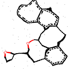 c1cc2c3c(c1)CC(C1CO1)OC3c1c(ccc3ccccc13)C2